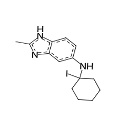 Cc1nc2cc(NC3(I)CCCCC3)ccc2[nH]1